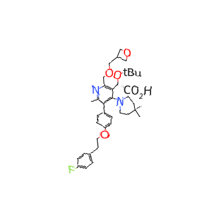 Cc1nc(COCC2COC2)c([C@H](OC(C)(C)C)C(=O)O)c(N2CCC(C)(C)CC2)c1-c1ccc(OCCc2ccc(F)cc2)cc1